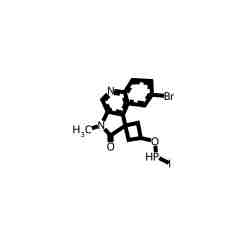 CN1C(=O)C2(CC(OPI)C2)c2c1cnc1ccc(Br)cc21